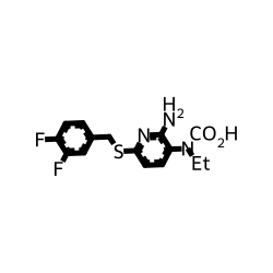 CCN(C(=O)O)c1ccc(SCc2ccc(F)c(F)c2)nc1N